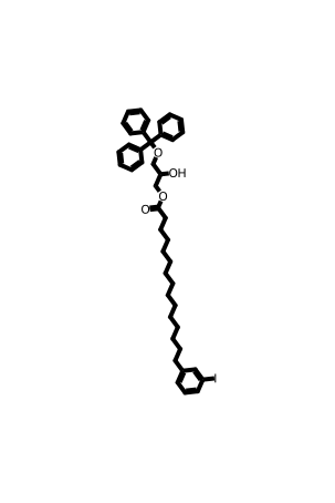 O=C(CCCCCCCCCCCCCCc1cccc(I)c1)OCC(O)COC(c1ccccc1)(c1ccccc1)c1ccccc1